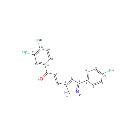 O=C(C=Cc1cc(-c2ccc(F)cc2)n[nH]1)c1ccc(F)c(F)c1